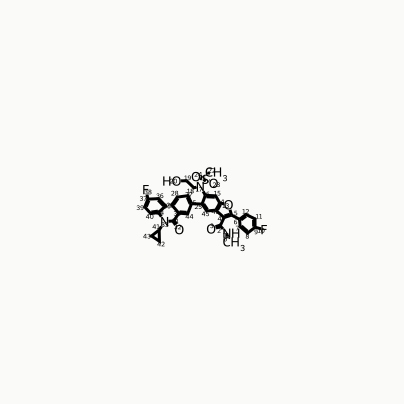 CNC(=O)c1c(-c2ccc(F)cc2)oc2cc(N(CCO)S(C)(=O)=O)c(-c3cccc(C(=O)N(c4ccc(F)cc4)C4CC4)c3)cc12